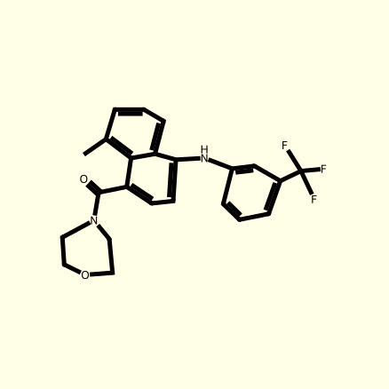 Cc1cccc2c(Nc3cccc(C(F)(F)F)c3)ccc(C(=O)N3CCOCC3)c12